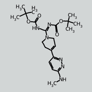 CNc1ccc(C2=CCN(/C(=N\C(=O)OC(C)(C)C)NC(=O)OC(C)(C)C)CC2)nn1